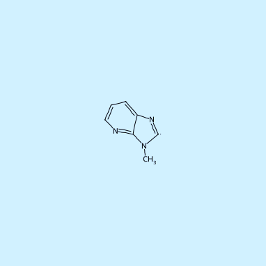 Cn1[c]nc2cccnc21